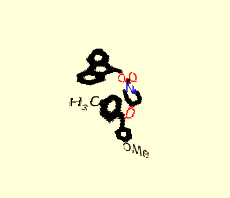 COc1ccc(C(OC2CCN(C(=O)OCC3c4ccccc4-c4ccccc43)CC2)c2ccc(C)cc2)cc1